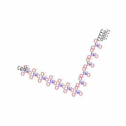 O=[N+]([O-])[O-].O=[N+]([O-])[O-].O=[N+]([O-])[O-].O=[N+]([O-])[O-].O=[N+]([O-])[O-].O=[N+]([O-])[O-].O=[N+]([O-])[O-].O=[N+]([O-])[O-].O=[N+]([O-])[O-].O=[N+]([O-])[O-].O=[N+]([O-])[O-].O=[N+]([O-])[O-].[Co+2].[Co+2].[Co+2].[Co+2].[Co+2].[Co+2]